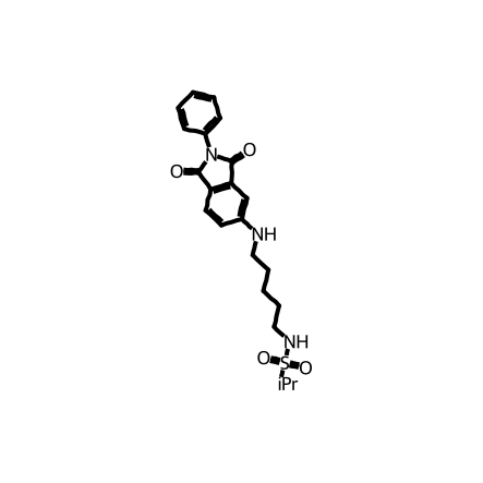 CC(C)S(=O)(=O)NCCCCCNc1ccc2c(c1)C(=O)N(c1ccccc1)C2=O